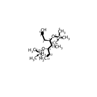 C#CC[C@@H](O[Si](C)(C)C)[C@H](C)[C@H](C=C)O[Si](C)(C)C